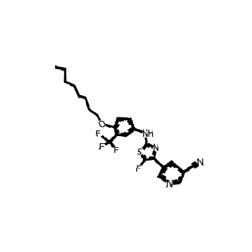 CCCCCCCCOc1ccc(Nc2nc(-c3cncc(C#N)c3)c(F)s2)cc1C(F)(F)F